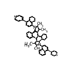 Cc1c(C)n(-c2ccc(-c3ccncc3)c3ccccc23)c2c3ccccc3c3c4c(C)c(C)n(-c5ccc(-c6ccncc6)c6ccccc56)c4c4ccccc4c3c12